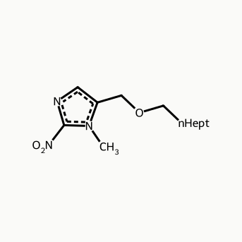 CCCCCCCCOCc1cnc([N+](=O)[O-])n1C